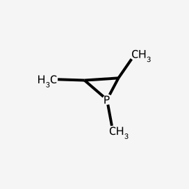 CC1C(C)P1C